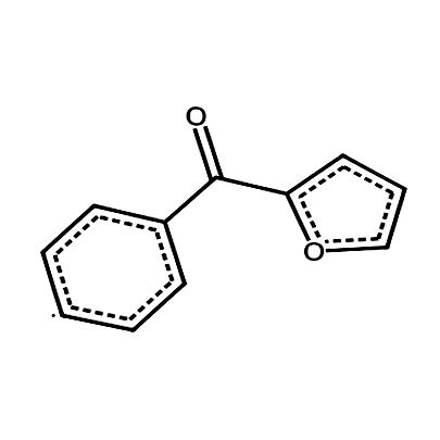 O=C(c1cc[c]cc1)c1ccco1